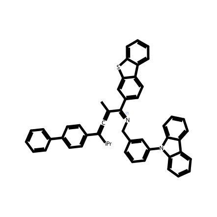 CC(=C=C(c1ccc(-c2ccccc2)cc1)C(C)C)/C(=N\Cc1cccc(-n2c3ccccc3c3ccccc32)c1)c1ccc2c(c1)sc1ccccc12